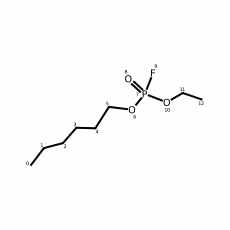 CCCCCCOP(=O)(F)OCC